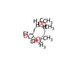 CCOc1cc(C)c2c(c1)/C=C/C[C@@H]1OC(C)(C)O[C@@H]1C(C)CC[C@@H](C)[C@H](C)OC2=O